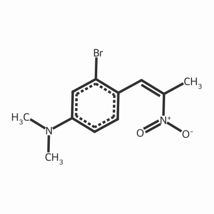 CC(=Cc1ccc(N(C)C)cc1Br)[N+](=O)[O-]